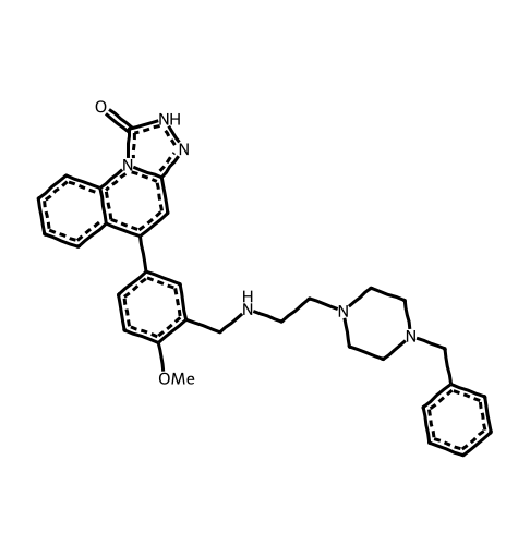 COc1ccc(-c2cc3n[nH]c(=O)n3c3ccccc23)cc1CNCCN1CCN(Cc2ccccc2)CC1